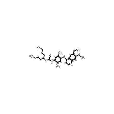 CCCCC(CCCC)OC(=O)Nc1cc(C)c(Oc2ccnc3cc(OC)c(OC)cc23)cc1C